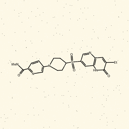 CCc1cc2ncc(S(=O)(=O)C3CCN(c4ccc(C(=O)NC)nc4)CC3)cc2[nH]c1=O